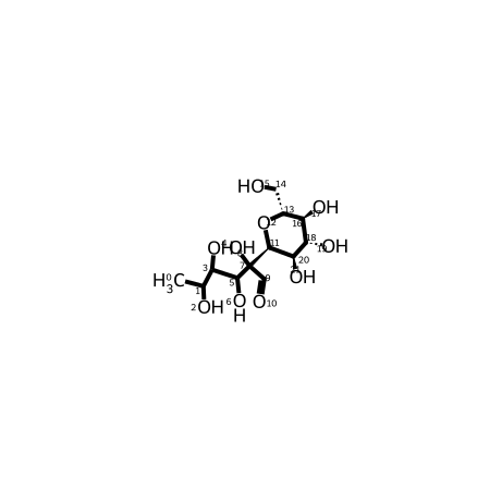 CC(O)C(O)C(O)C(O)(C=O)[C@H]1O[C@H](CO)[C@@H](O)[C@H](O)[C@H]1O